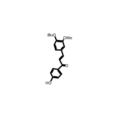 COc1cc(C=CC(=O)c2ccc(O)cc2)ccc1OCC(C)C